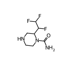 NC(=O)N1CCNCC1C(F)C(F)F